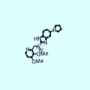 COc1ccnc(C[S@+]([O-])c2nc3cc(-n4cccc4)ccc3[nH]2)c1OC